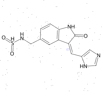 O=C1Nc2ccc(CN[SH](=O)=O)cc2/C1=C/c1cnc[nH]1